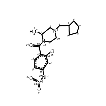 C[C@H]1CN(CC2CCCC2)CCN1C(=O)c1ccc(N[SH](=O)=O)cc1Cl